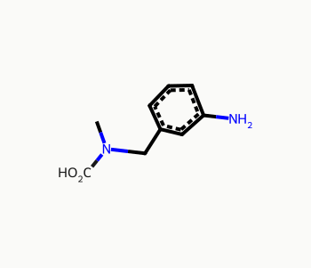 CN(Cc1cccc(N)c1)C(=O)O